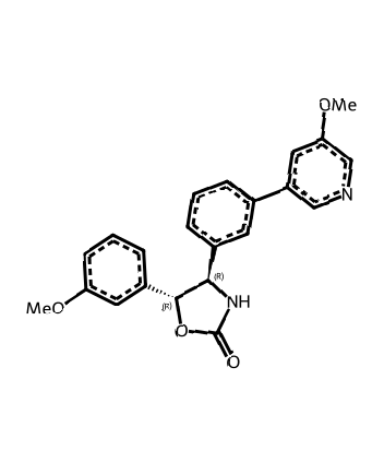 COc1cncc(-c2cccc([C@H]3NC(=O)O[C@@H]3c3cccc(OC)c3)c2)c1